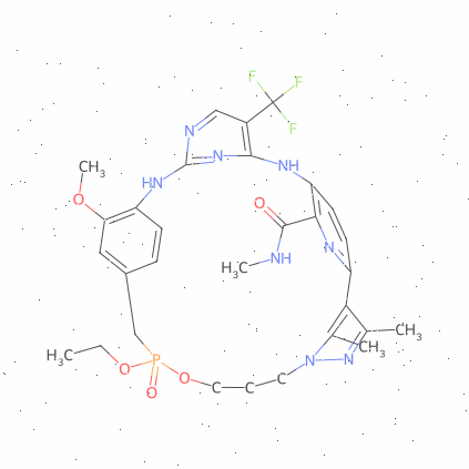 CCOP1(=O)Cc2ccc(c(OC)c2)Nc2ncc(C(F)(F)F)c(n2)Nc2ccc(nc2C(=O)NC)-c2c(C)nn(c2C)CCCO1